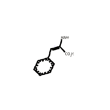 CN/C(=C/c1ccccc1)C(=O)O